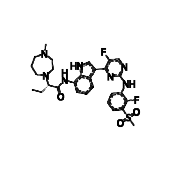 CC[C@@H](C(=O)Nc1cccc2c(-c3nc(Nc4cccc(S(C)(=O)=O)c4F)ncc3F)c[nH]c12)N1CCCN(C)CC1